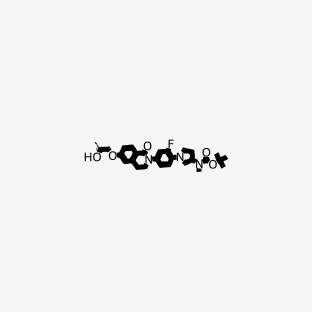 C[C@@H](O)COc1ccc2c(c1)CCN(c1ccc(N3CCC(N(C)C(=O)OC(C)(C)C)C3)c(F)c1)C2=O